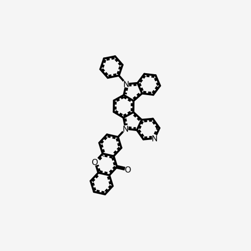 O=c1c2ccccc2oc2ccc(-n3c4cnccc4c4c5c6ccccc6n(-c6ccccc6)c5ccc43)cc12